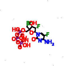 Nc1nc(=O)n([C@@H]2O[C@](CBr)(COP(=O)(O)OP(=O)(O)OP(=O)(O)O)[C@@H](O)[C@@H]2F)cc1F